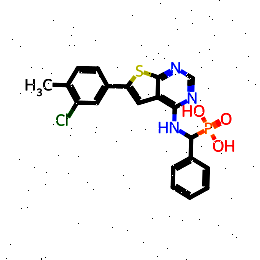 Cc1ccc(-c2cc3c(NC(c4ccccc4)P(=O)(O)O)ncnc3s2)cc1Cl